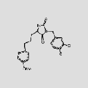 COc1ccc(CCCC2NC(=O)N(Cc3ccc(Cl)c(Cl)c3)C2=O)cc1